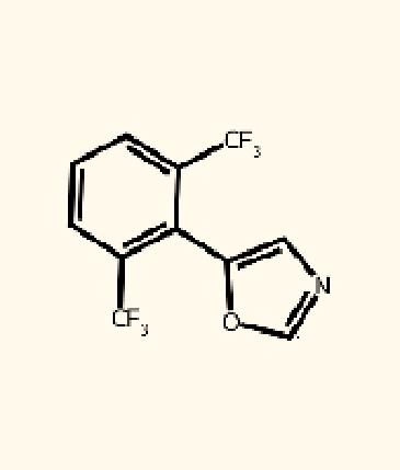 FC(F)(F)c1cccc(C(F)(F)F)c1-c1cn[c]o1